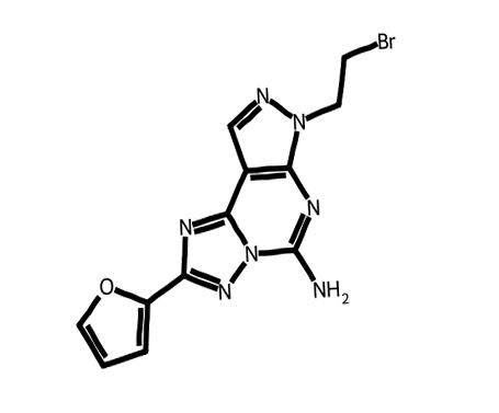 Nc1nc2c(cnn2CCBr)c2nc(-c3ccco3)nn12